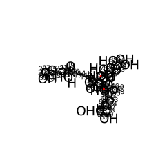 CC1O[C@@H](OC2C(O)[C@@H](NC(=O)CCCCCNC(=O)c3ccc(COc4cccc(O)c4C=O)cc3)C(CO)O[C@H]2OC(=O)[C@]23CCC(C)(C)CC2C2=CCC4C5(C)CC[C@H](O)[C@](C)(C=O)[C@@H]5CC[C@]4(C)[C@]2(C)CC3O)C(O)C(O)[C@H]1O[C@@H]1OC[C@@H](O)C(O)C1O